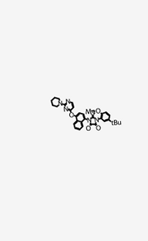 COc1ccc(C(C)(C)C)cc1N1C(=O)C(=O)N(c2ccc(Oc3ccnc(N4CCCCC4)n3)c3ccccc23)C1=O